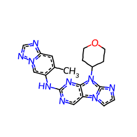 Cc1cc2ncnn2cc1Nc1ncc2c(n1)n(C1CCOCC1)c1nccn21